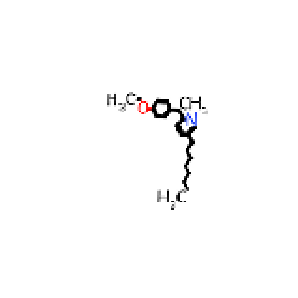 CCCCCCCCc1ccc(C(C)c2ccc(OCC)cc2)nc1